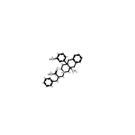 CC12Cc3ccccc3CC1(c1cccc(O)c1)CCN(CC(Cc1ccccc1)C(=O)O)C2